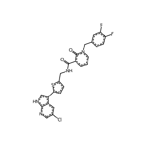 O=C(NCc1ccc(-c2c[nH]c3ncc(Cl)cc23)s1)c1cccn(Cc2ccc(F)c(F)c2)c1=O